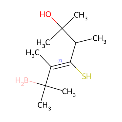 BC(C)(C)/C(C)=C(\S)C(C)C(C)(C)O